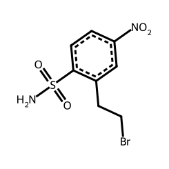 NS(=O)(=O)c1ccc([N+](=O)[O-])cc1CCBr